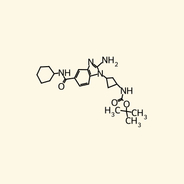 CC(C)(C)OC(=O)NC1CC(n2c(N)nc3cc(C(=O)NC4CCCCC4)ccc32)C1